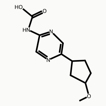 COC1CCC(c2cnc(NC(=O)O)cn2)C1